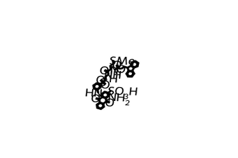 CSCCC(NC(=O)OCC1c2ccccc2-c2ccccc21)C(=O)NCCS(=O)(=O)c1cccc(Nc2cc(S(=O)(=O)O)c(N)c3c2C(=O)c2ccccc2C3=O)c1